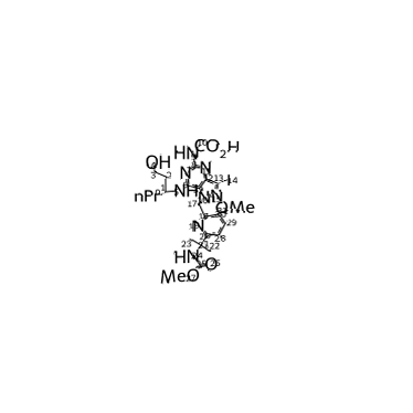 CCCC(CCO)Nc1nc(NC(=O)O)nc2c(I)nn(Cc3nc(C(C)(C)NC(=O)OC)ccc3OC)c12